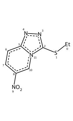 CCSc1nnc2ccc([N+](=O)[O-])cn12